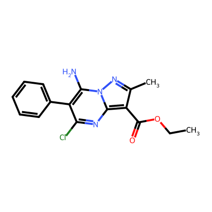 CCOC(=O)c1c(C)nn2c(N)c(-c3ccccc3)c(Cl)nc12